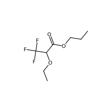 CCCOC(=O)C(OCC)C(F)(F)F